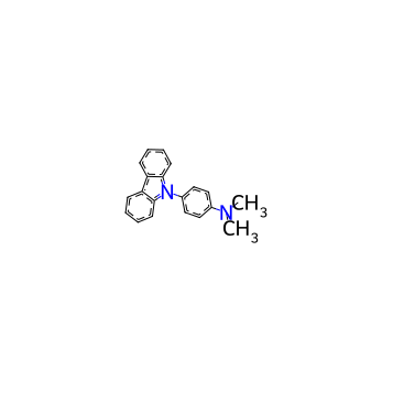 CN(C)c1ccc(-n2c3ccccc3c3ccccc32)cc1